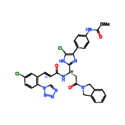 COC(=O)Nc1ccc(-c2nc([C@H](CC(=O)N3Cc4ccccc4C3)NC(=O)/C=C/c3cc(Cl)ccc3-n3cnnn3)[nH]c2Cl)cc1